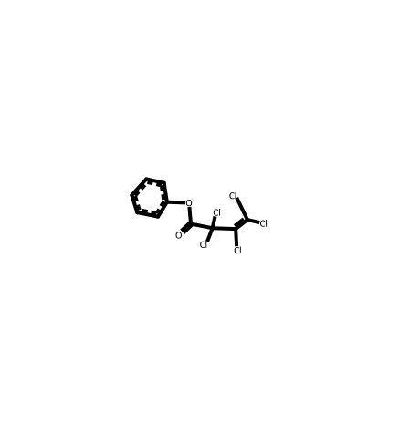 O=C(Oc1ccccc1)C(Cl)(Cl)C(Cl)=C(Cl)Cl